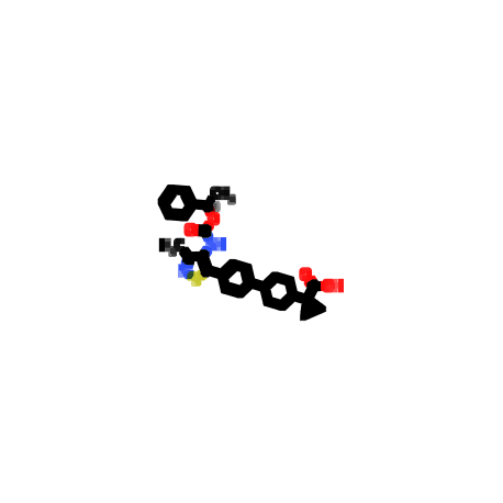 Cc1nsc(-c2ccc(C3CCC(C4(C(=O)O)CC4)CC3)cc2)c1NC(=O)O[C@H](C)c1ccccc1